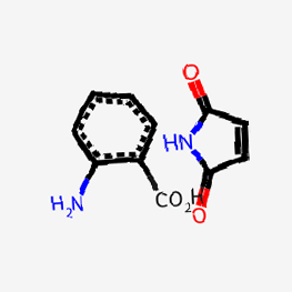 Nc1ccccc1C(=O)O.O=C1C=CC(=O)N1